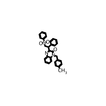 Cc1ccc(Cn2c(=O)c(C(CS(=O)(=O)c3ccccc3)c3ccccc3)nc3ccccc32)cc1